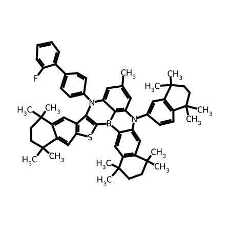 Cc1cc2c3c(c1)N(c1ccc(-c4ccccc4F)cc1)c1c(sc4cc5c(cc14)C(C)(C)CCC5(C)C)B3c1cc3c(cc1N2c1ccc2c(c1)C(C)(C)CCC2(C)C)C(C)(C)CCC3(C)C